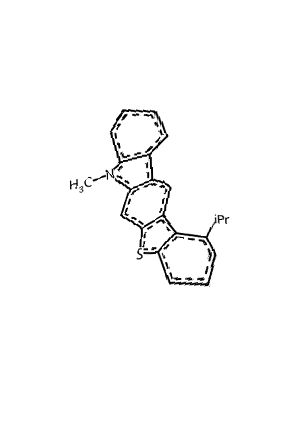 CC(C)c1cccc2sc3cc4c(cc3c12)c1ccccc1n4C